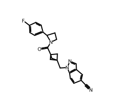 N#Cc1ccc2c(cnn2CC23CC(C(=O)N4CCC4c4ccc(F)cc4)(C2)C3)c1